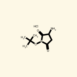 CC(C)(C)ON1C(=O)CC(N)C1=O.Cl